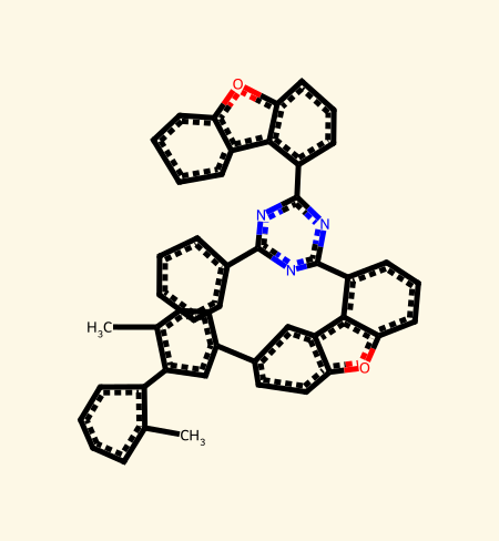 Cc1ccccc1-c1cc(-c2ccc3oc4cccc(-c5nc(-c6ccccc6)nc(-c6cccc7oc8ccccc8c67)n5)c4c3c2)ccc1C